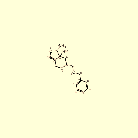 C[C@H]1ON=C2CO[C@@H](COCc3ccccc3)C[C@H]21